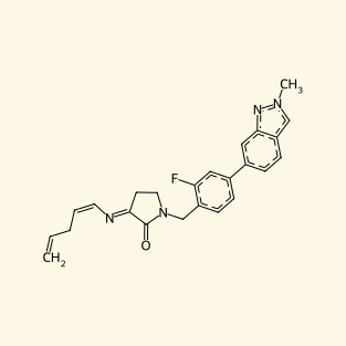 C=CC/C=C\N=C1/CCN(Cc2ccc(-c3ccc4cn(C)nc4c3)cc2F)C1=O